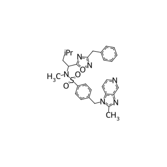 Cc1nc2cnccc2n1Cc1ccc(S(=O)(=O)N(C)C(CC(C)C)c2nc(Cc3ccccc3)no2)cc1